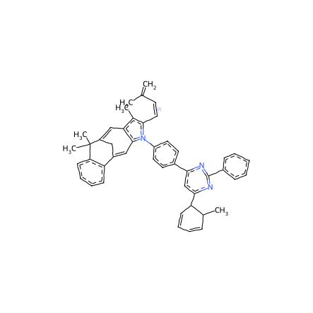 C=C(C)/C=C\c1c(C)c2c(n1-c1ccc(-c3cc(C4C=CC=CC4C)nc(-c4ccccc4)n3)cc1)C=C1CC(=C2)C(C)(C)c2ccccc21